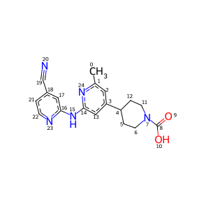 Cc1cc(C2CCN(C(=O)O)CC2)cc(Nc2cc(C#N)ccn2)n1